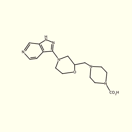 O=C(O)N1CCN(CC2CN(c3n[nH]c4cnccc34)CCO2)CC1